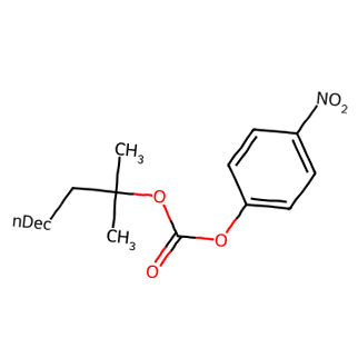 CCCCCCCCCCCC(C)(C)OC(=O)Oc1ccc([N+](=O)[O-])cc1